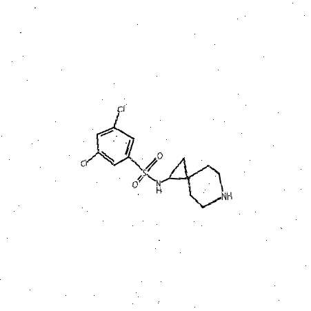 O=S(=O)(NC1CC12CCNCC2)c1cc(Cl)cc(Cl)c1